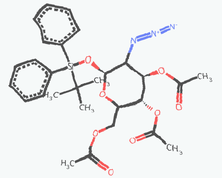 CC(=O)OCC1O[C@@H](O[Si](c2ccccc2)(c2ccccc2)C(C)(C)C)C(N=[N+]=[N-])[C@@H](OC(C)=O)[C@@H]1OC(C)=O